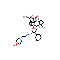 CC(C)C1=CC2CC3(C=O)[C@@H]4CC[C@@H](C)[C@H]4CC2([C@H]2C[C@@H](C4CCCCC4)[C@H](CNCCN4CCC(O)CC4)O2)[C@]13C(=O)O